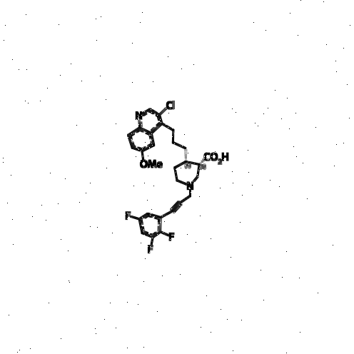 COc1ccc2ncc(Cl)c(CCC[C@H]3CCN(CC#Cc4cc(F)cc(F)c4F)C[C@H]3C(=O)O)c2c1